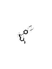 C=Cc1ccc2nnc(-c3ccc(N4CCN(C)CC4)cc3)n2c1